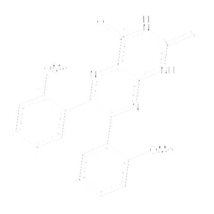 COc1ccccc1-c1nc2[nH]c(=S)[nH]c(=O)c2nc1-c1ccccc1OC